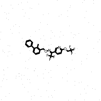 Cc1c(CON=C(c2ccc(OCC(F)(F)F)nc2)C(F)(F)F)cccc1-c1ccccc1